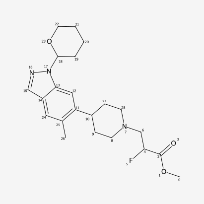 COC(=O)C(F)CN1CCC(c2cc3c(cnn3C3CCCCO3)cc2C)CC1